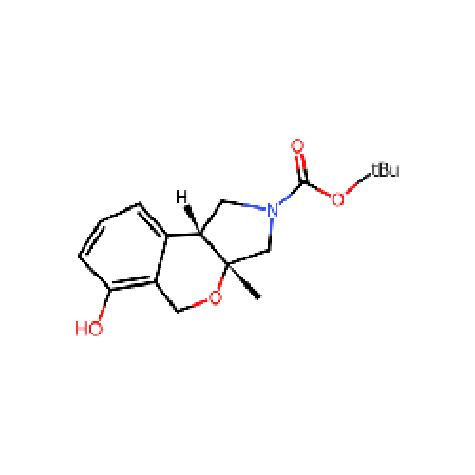 CC(C)(C)OC(=O)N1C[C@H]2c3cccc(O)c3CO[C@@]2(C)C1